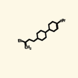 C=C(CC)CCC1CCC(C2CC=C(CCC)CC2)CC1